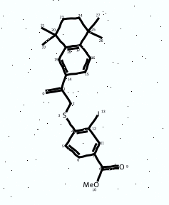 C=C(CSc1ccc(C(=O)OC)cc1I)c1ccc2c(c1)C(C)(C)CCC2(C)C